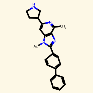 CC(=O)n1c(-c2ccc(-c3ccccc3)cc2)nc2c(C)nc(C3CCNC3)cc21